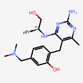 CCC[C@@H](CO)Nc1nc(N)nc(C)c1Cc1ccc(CN(C)C)cc1O